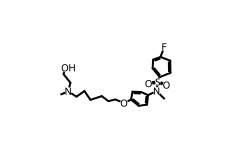 CN(CCO)CCCCCCOc1ccc(N(C)S(=O)(=O)c2ccc(F)cc2)cc1